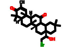 CC1(C)CC[C@]2(C(O)CBr)CC[C@]3(C)C(C(=O)C[C@@H]4[C@@]5(C)C=C(C#N)C(=O)C(C)(C)[C@@H]5CC[C@]43C)C2C1